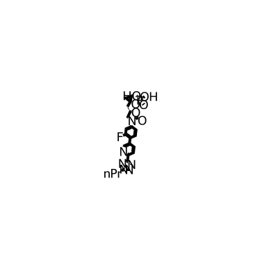 CCCn1nnc(-c2ccc(-c3ccc(N4C[C@H](CC5(OP(=O)(O)O)CC5)OC4=O)cc3F)cn2)n1